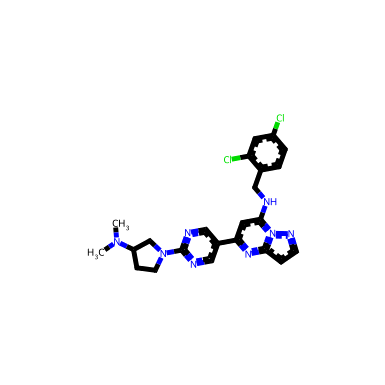 CN(C)C1CCN(c2ncc(-c3cc(NCc4ccc(Cl)cc4Cl)n4nccc4n3)cn2)C1